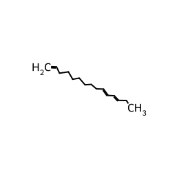 C=CCCCCCCCC=CC=CCC